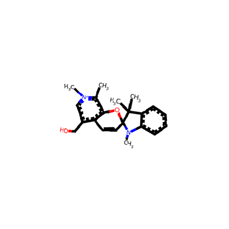 Cc1c2c(c(CO)c[n+]1C)C=CC1(O2)N(C)c2ccccc2C1(C)C